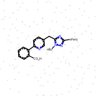 CCCCCc1nc(Cc2ccc(-c3ccccc3C(=O)O)nc2)n(CCCC)n1